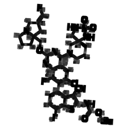 CC(C)(C)OC(=O)Nc1sc2c(F)ccc(-c3c(Cl)cc4c(N5CCC[C@]6(CNS(=O)(=O)N6)C5)nc(OCC56CCCN5C/C(=C\F)C6)nc4c3F)c2c1C#N